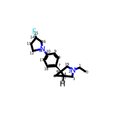 CCN1C[C@@H]2C[C@]2(c2ccc(N3CCC(F)C3)cc2)C1